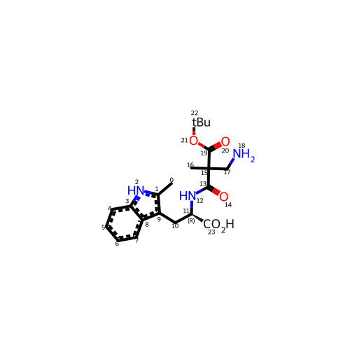 Cc1[nH]c2ccccc2c1C[C@@H](NC(=O)C(C)(CN)C(=O)OC(C)(C)C)C(=O)O